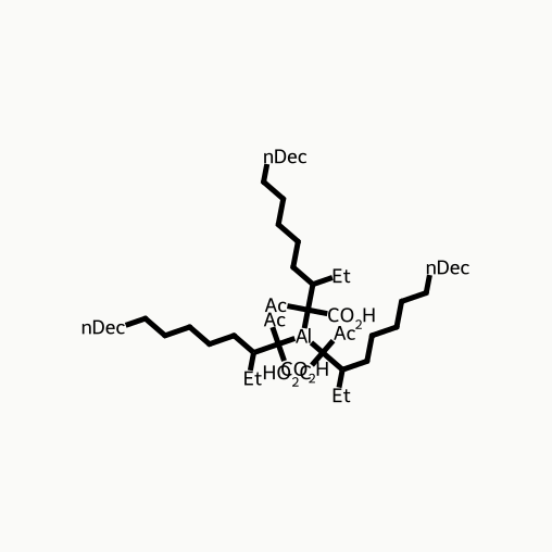 CCCCCCCCCCCCCCCC(CC)[C](C(C)=O)(C(=O)O)[Al]([C](C(C)=O)(C(=O)O)C(CC)CCCCCCCCCCCCCCC)[C](C(C)=O)(C(=O)O)C(CC)CCCCCCCCCCCCCCC